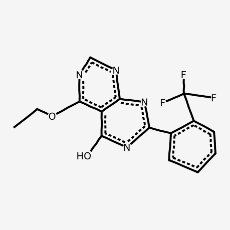 CCOc1ncnc2nc(-c3ccccc3C(F)(F)F)nc(O)c12